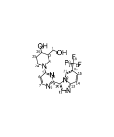 OCC1CN(c2ccnc(-c3cnc4ccc(C(F)(F)F)cn34)n2)CCC1O